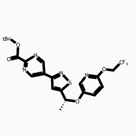 C[C@@H](Oc1ccc(OCC(F)(F)F)nc1)c1cc(-c2cnc(C(=O)OC(C)(C)C)nc2)ns1